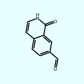 O=Cc1ccc2cc[nH]c(=O)c2c1